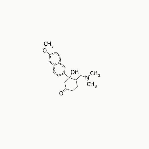 COc1ccc2cc(C3(O)CC(=O)CCC3CN(C)C)ccc2c1